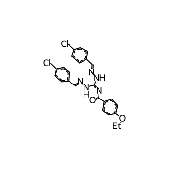 CCOc1ccc(C(=O)N=C(N/N=C/c2ccc(Cl)cc2)N/N=C/c2ccc(Cl)cc2)cc1